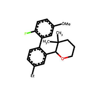 CCc1ccc(-c2cc(OC)ccc2F)c(C2OCCCC2(C)C)c1